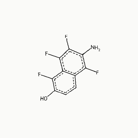 Nc1c(F)c(F)c2c(F)c(O)ccc2c1F